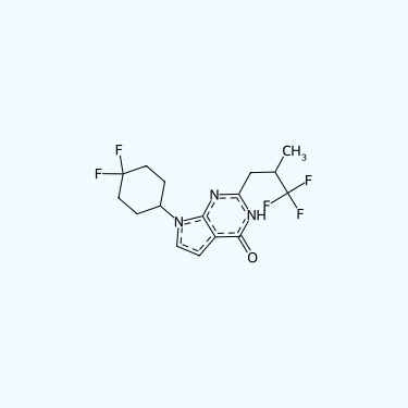 CC(Cc1nc2c(ccn2C2CCC(F)(F)CC2)c(=O)[nH]1)C(F)(F)F